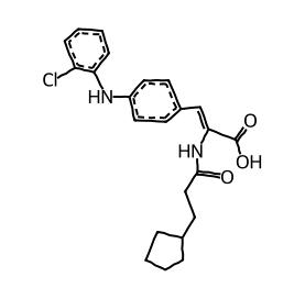 O=C(CCC1CCCC1)NC(=Cc1ccc(Nc2ccccc2Cl)cc1)C(=O)O